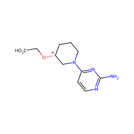 Nc1nccc(N2CCC[C@@H](OCC(=O)O)C2)n1